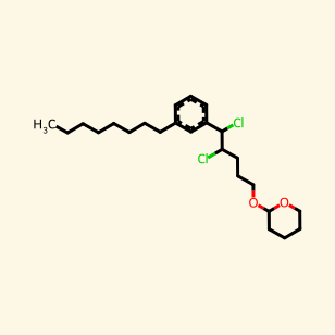 CCCCCCCCc1cccc(C(Cl)C(Cl)CCCOC2CCCCO2)c1